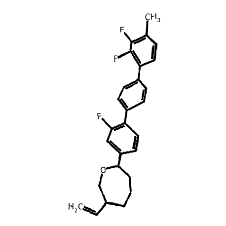 C=CC1CCCC(c2ccc(-c3ccc(-c4ccc(C)c(F)c4F)cc3)c(F)c2)OC1